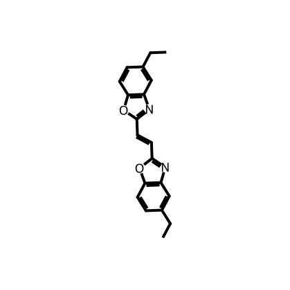 CCc1ccc2oc(/C=C/c3nc4cc(CC)ccc4o3)nc2c1